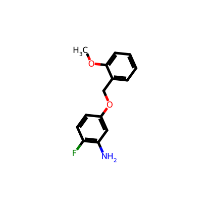 COc1ccccc1COc1ccc(F)c(N)c1